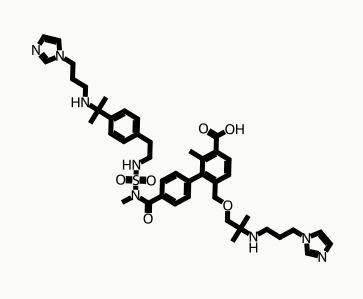 Cc1c(C(=O)O)ccc(COCC(C)(C)NCCCn2ccnc2)c1-c1ccc(C(=O)N(C)S(=O)(=O)NCCc2ccc(C(C)(C)NCCCn3ccnc3)cc2)cc1